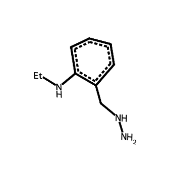 CCNc1ccccc1CNN